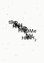 COC(=O)[C@H](CCCNC(=N)N)NC(=O)c1ccc(NNC(=O)OC(C)(C)C)cc1